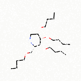 CCCCOC[C@H]1NC[C@H](OCCCC)[C@@H](OCCCC)[C@@H]1OCCCC